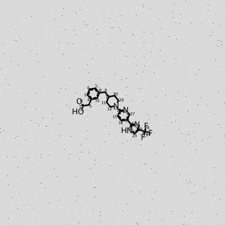 O=C(O)Cc1cccc(CC2CCN(c3ccc(-c4nc(C(F)(F)F)c[nH]4)cn3)CC2)c1